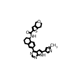 Cn1cc(-c2cc3c(-c4ccc5c(c4)CCCC5NC(=O)c4cc5c(s4)CCOC5)ncnc3[nH]2)cn1